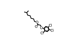 CC(C)CCCCCOC(=O)COc1cc(Cl)c(Cl)cc1Cl